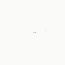 CC(C)(Br)[C@@H]1CCOC1